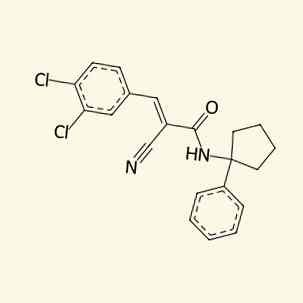 N#C/C(=C\c1ccc(Cl)c(Cl)c1)C(=O)NC1(c2ccccc2)CCCC1